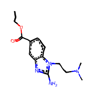 CCOC(=O)c1ccc2c(c1)nc(N)n2CCN(C)C